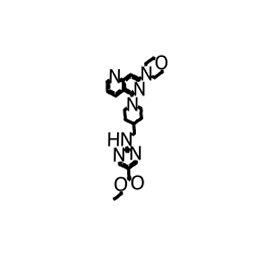 CCOC(=O)c1cnc(NCC2CCN(c3nc(N4CCOCC4)cc4ncccc34)CC2)nc1